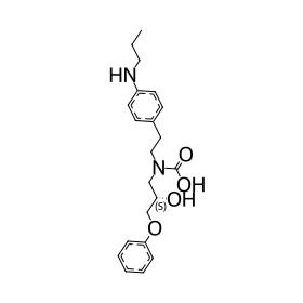 CCCNc1ccc(CCN(C[C@H](O)COc2ccccc2)C(=O)O)cc1